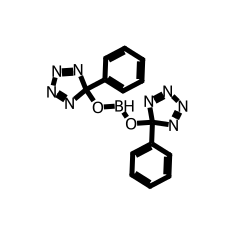 B(OC1(c2ccccc2)N=NN=N1)OC1(c2ccccc2)N=NN=N1